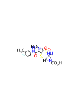 Cc1cc(NC(=O)c2c3c(cn2C)S(=O)(=O)N[C@H]2CN(C(=O)O)C[C@H]2CS3)ccc1F